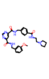 COc1cccc(CNC(=O)c2cc(C(=O)NCc3ccc(C(=O)NCCN4CCCC4)cc3)ncn2)c1